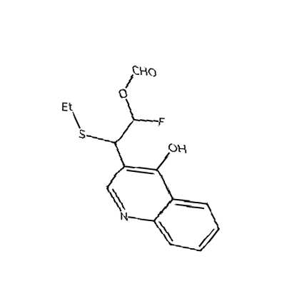 CCSC(c1cnc2ccccc2c1O)C(F)OC=O